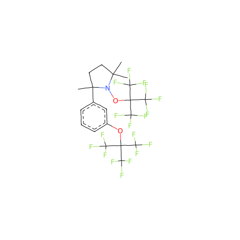 CC1(C)CCC(C)(c2cccc(OC(C(F)(F)F)(C(F)(F)F)C(F)(F)F)c2)N1OC(C(F)(F)F)(C(F)(F)F)C(F)(F)F